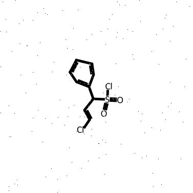 O=S(=O)(Cl)C(C=CCl)c1ccccc1